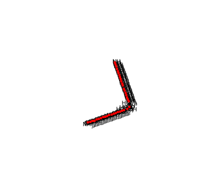 N.N.N.N.N.N.N.N.N.N.N.N.N.N.N.N.N.N.N.N.N.N.N.N.N.N.N.N.N.N.N.N.N.N.N.N.N.N.N.N.N.N.N.N.N.N.N.N.N.N.N.N.N.N.N.N.N.N.N.N.N.N.N.N.N.N.N.N.N.N.N.N.N.N.N.O=C(O)O.O=C(O)O.O=C(O)O.O=C(O)O